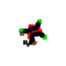 Cc1cc(C(=O)N2CC(O)C(N3CCN(C(=O)c4ccc(Cl)cc4)CC3)C2)ccc1Br.O=C(c1ccc(Cl)cc1)N1CCN(C2CN(C(=O)c3ccc(Cl)c(Br)c3)CC2O)CC1